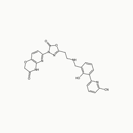 N#Cc1cccc(-c2cccc(CNCCc3nn(-c4ccc5c(n4)NC(=O)CO5)c(=O)o3)c2O)n1